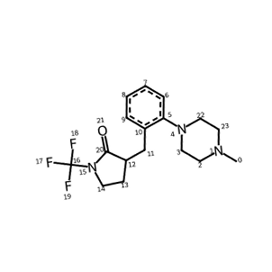 CN1CCN(c2ccccc2CC2CCN(C(F)(F)F)C2=O)CC1